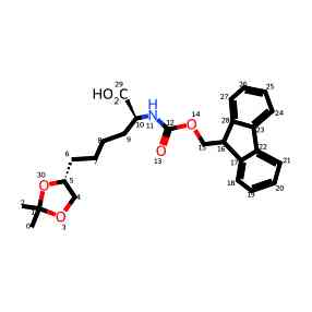 CC1(C)OC[C@@H](CCCC[C@H](NC(=O)OCC2c3ccccc3-c3ccccc32)C(=O)O)O1